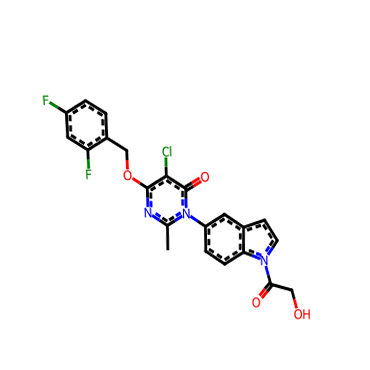 Cc1nc(OCc2ccc(F)cc2F)c(Cl)c(=O)n1-c1ccc2c(ccn2C(=O)CO)c1